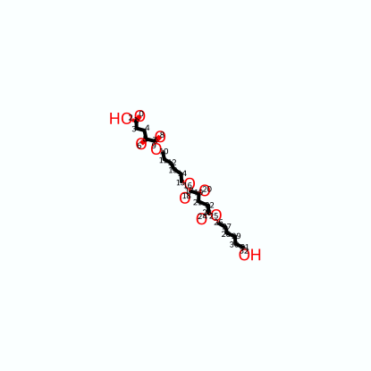 O=C(O)CCC(=O)C(=O)OCCCCCCOC(=O)C(=O)CCC(=O)OCCCCCCO